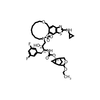 CCOC1OCC2CC1C1C[C@@]21OC(=O)N[C@@H](Cc1cc(F)cc(F)c1)[C@H](O)CN1CCCCCCCOCc2cc3nc(NC4CC4)sc3cc2S1(=O)=O